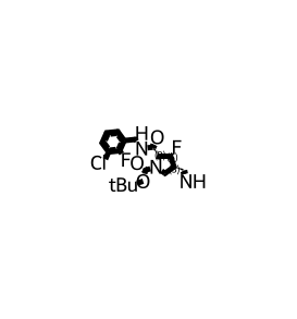 CC(C)(C)OC(=O)N1C[C@@H](C=N)[C@H](F)[C@H]1C(=O)NCc1cccc(Cl)c1F